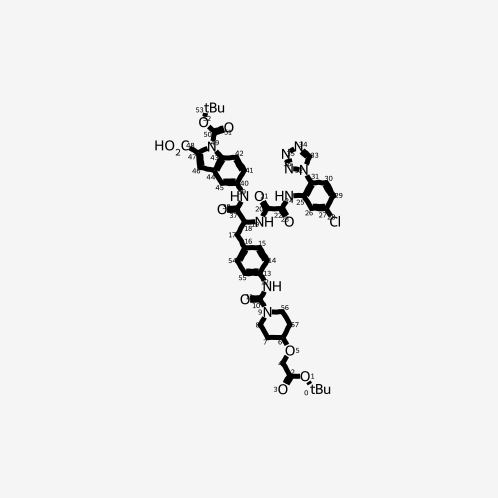 CC(C)(C)OC(=O)COC1CCN(C(=O)Nc2ccc(CC(NC(=O)C(=O)Nc3cc(Cl)ccc3-n3cnnn3)C(=O)Nc3ccc4c(c3)cc(C(=O)O)n4C(=O)OC(C)(C)C)cc2)CC1